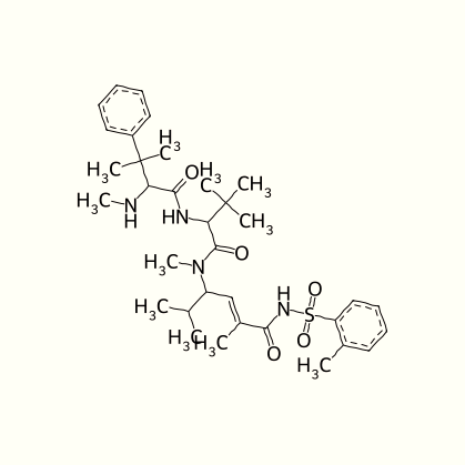 CNC(C(=O)NC(C(=O)N(C)C(C=C(C)C(=O)NS(=O)(=O)c1ccccc1C)C(C)C)C(C)(C)C)C(C)(C)c1ccccc1